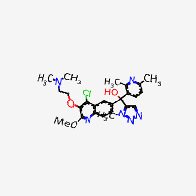 COc1nc2ccc(C(O)(c3ccc(C)nc3C)c3cnnn3C)cc2c(Cl)c1OCCN(C)C